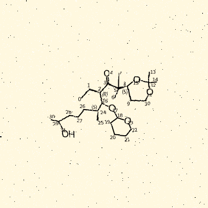 CC[C@@H](C(=O)C(C)(C)[C@@H]1CCOC(C)(C)O1)C(OC1CCCCO1)[C@@H](C)CCCC(C)O